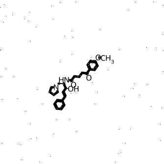 COc1ccc(C(=O)CCCC(=O)N[C@H](CN2CCCC2)[C@H](O)/C=C/c2ccccc2)cc1